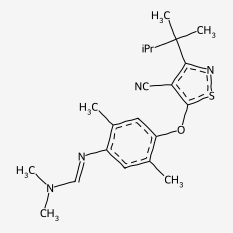 Cc1cc(Oc2snc(C(C)(C)C(C)C)c2C#N)c(C)cc1N=CN(C)C